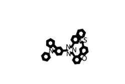 c1ccc(-c2nc(-c3ccc4c(c3)c3ccccc3n4-c3ccccc3)nc(-c3cccc4oc5ccc(-c6nc7ccccc7s6)cc5c34)n2)cc1